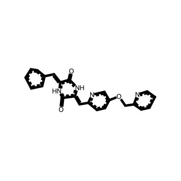 O=c1[nH]/c(=C\c2ccc(OCc3ccccn3)cn2)c(=O)[nH]/c1=C\c1ccccc1